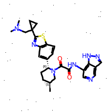 C[C@H]1CC[C@H](c2ccc3sc(C4(CN(C)C)CC4)nc3c2)N(C(=O)C(=O)Nc2cncc3cn[nH]c23)C1